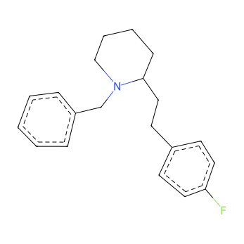 Fc1ccc(CCC2CCCCN2Cc2ccccc2)cc1